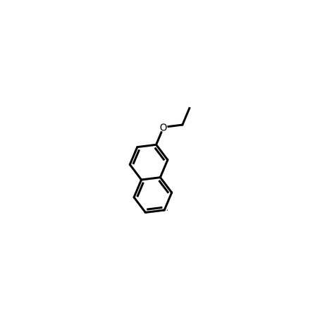 CCOc1ccc2cc[c]cc2c1